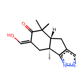 Cn1cc2c(n1)[C@@]1(C)C/C(=C/O)C(=O)C(C)(C)[C@@H]1C2